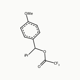 COc1ccc(C(OC(=O)C(F)(F)F)C(C)C)cc1